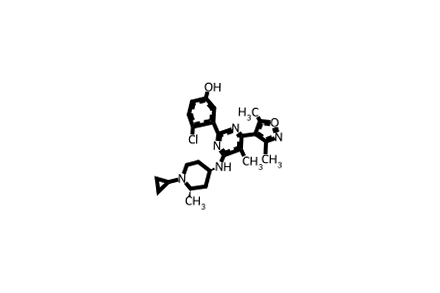 Cc1noc(C)c1-c1nc(-c2cc(O)ccc2Cl)nc(N[C@H]2CCN(C3CC3)[C@@H](C)C2)c1C